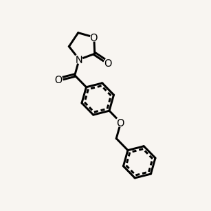 O=C1OCCN1C(=O)c1ccc(OCc2ccccc2)cc1